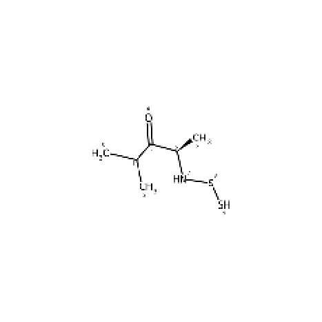 CC(C)C(=O)[C@@H](C)NSS